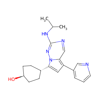 CC(C)Nc1ncc2c(-c3cccnc3)cc([C@H]3CC[C@H](O)CC3)n2n1